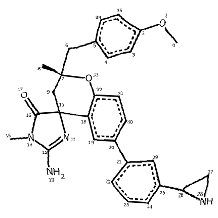 COc1ccc(C[C@@]2(C)CC3(N=C(N)N(C)C3=O)c3cc(-c4cccc(C5CN5)c4)ccc3O2)cc1